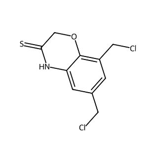 S=C1COc2c(CCl)cc(CCl)cc2N1